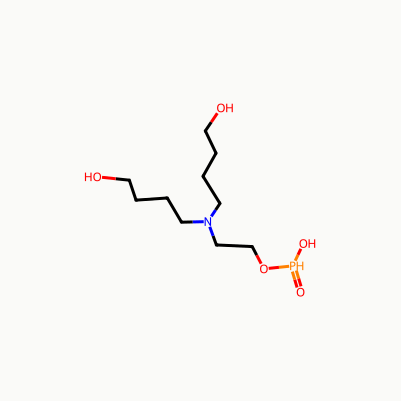 O=[PH](O)OCCN(CCCCO)CCCCO